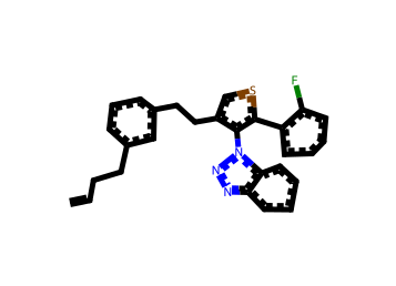 C=CCCc1cccc(CCc2csc(-c3ccccc3F)c2-n2nnc3ccccc32)c1